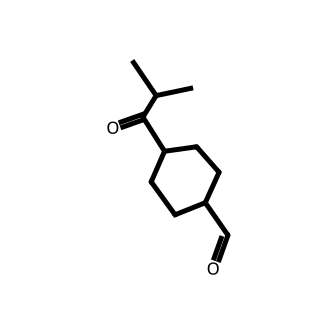 CC(C)C(=O)C1CCC(C=O)CC1